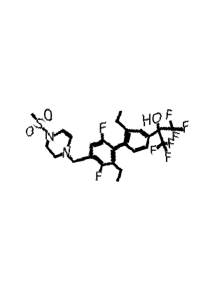 CCc1cc(C(O)(C(F)(F)F)C(F)(F)F)ccc1-c1c(F)cc(CN2CCN(S(C)(=O)=O)CC2)c(F)c1CC